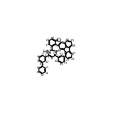 C1=C(c2cccc(-c3ccccc3)c2)NC(c2cccc3oc4c5cccc6c5c(cc4c23)-c2ccccc2-6)N=C1c1ccccc1